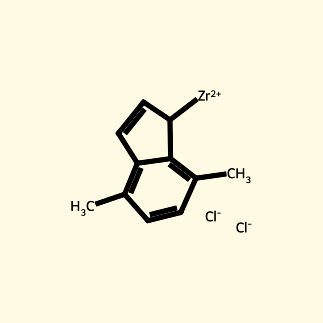 Cc1ccc(C)c2c1C=C[CH]2[Zr+2].[Cl-].[Cl-]